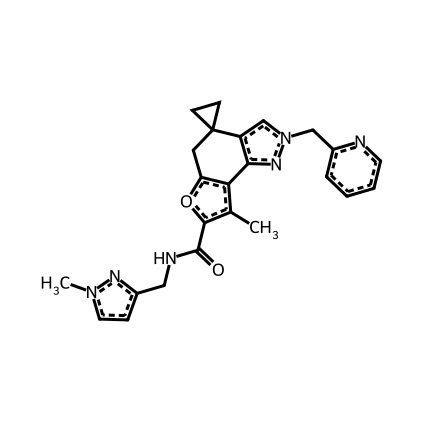 Cc1c(C(=O)NCc2ccn(C)n2)oc2c1-c1nn(Cc3ccccn3)cc1C1(CC1)C2